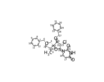 C[C@@H](F)[C@]1(COCc2ccccc2)O[C@@H](n2ccc(=O)[nH]c2=O)[C@@H](Cl)[C@@H]1OCc1ccccc1